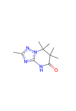 Cc1nc2n(n1)C(C)(C)C(C)(C)C(=O)N2